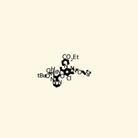 CCOC(=O)C1CCN(c2c(C(C)NC(=O)c3c(NC(=O)OC(C)(C)C)nn4cccnc34)cc(Cl)c3cn(COCC[Si](C)(C)C)nc23)CC1